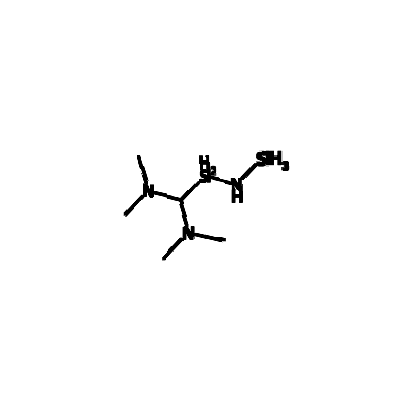 CN(C)C([SiH2]N[SiH3])N(C)C